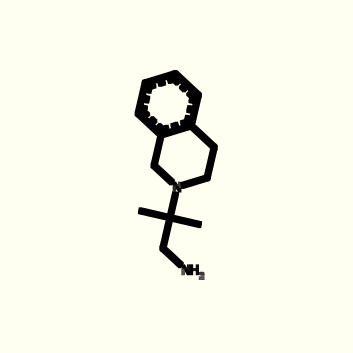 CC(C)(CN)N1CCc2ccccc2C1